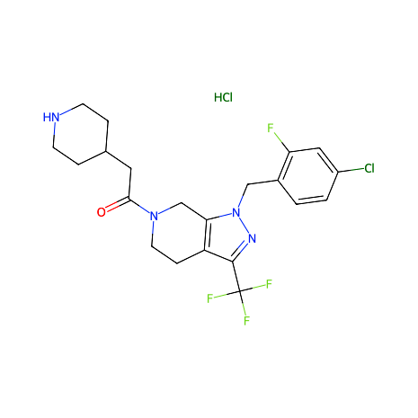 Cl.O=C(CC1CCNCC1)N1CCc2c(C(F)(F)F)nn(Cc3ccc(Cl)cc3F)c2C1